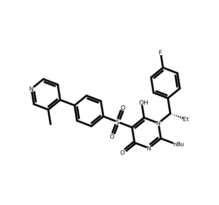 CCCCc1nc(=O)c(S(=O)(=O)c2ccc(-c3ccncc3C)cc2)c(O)n1[C@@H](CC)c1ccc(F)cc1